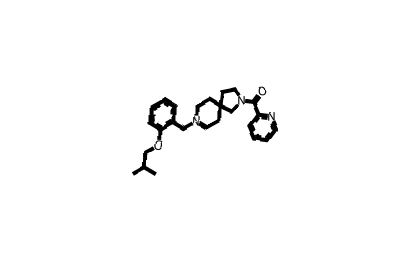 CC(C)COc1ccccc1CN1CCC2(CC1)CCN(C(=O)c1ccccn1)C2